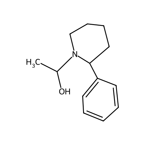 CC(O)N1CCCCC1c1ccccc1